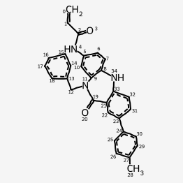 C=CC(=O)Nc1ccc2c(c1)N(Cc1ccccc1)C(=O)c1cc(-c3ccc(C)cc3)ccc1N2